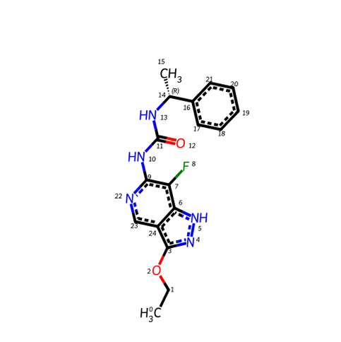 CCOc1n[nH]c2c(F)c(NC(=O)N[C@H](C)c3ccccc3)ncc12